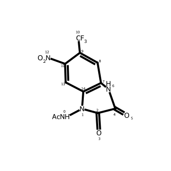 CC(=O)Nn1c(=O)c(=O)[nH]c2cc(C(F)(F)F)c([N+](=O)[O-])cc21